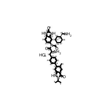 Cc1cc2c(=O)n(C(C)C)[nH]c2cc1-c1ccc(C[C@H](N)C(=O)N(c2ccc3[nH]c(=O)[nH]c3c2)C(=O)[C@H]2CC[C@H](CN)CC2)cc1.Cl